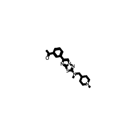 CC(=O)c1cccc(-c2cn3nc(N(C)CC4CCN(C)CC4)sc3n2)c1